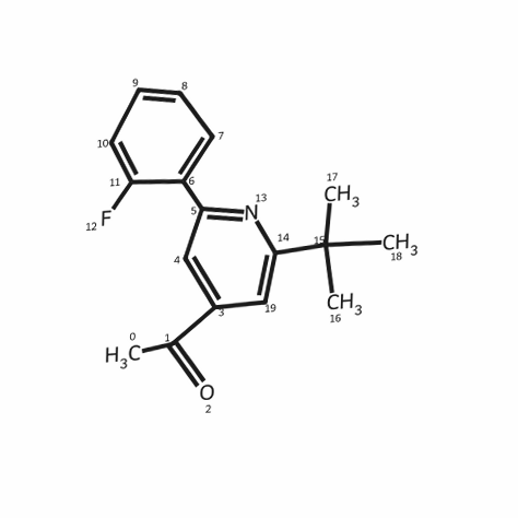 CC(=O)c1cc(-c2ccccc2F)nc(C(C)(C)C)c1